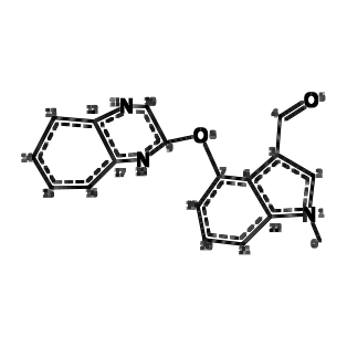 Cn1cc(C=O)c2c(Oc3cnc4ccccc4n3)cccc21